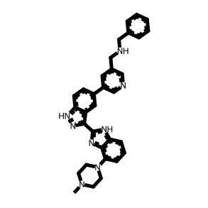 CN1CCN(c2cccc3[nH]c(-c4n[nH]c5ccc(-c6cncc(CNCc7ccccc7)c6)cc45)nc23)CC1